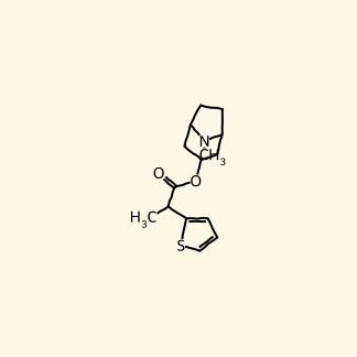 CC(C(=O)OC1CC2CCC(C1)N2C)c1cccs1